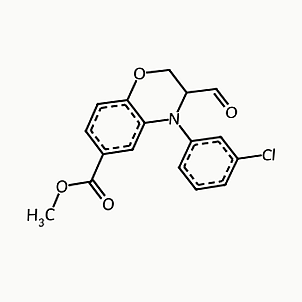 COC(=O)c1ccc2c(c1)N(c1cccc(Cl)c1)C(C=O)CO2